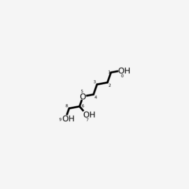 OCCCCOC(O)CO